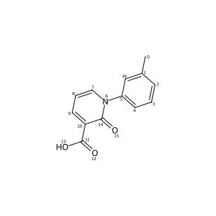 Cc1cccc(-n2cccc(C(=O)O)c2=O)c1